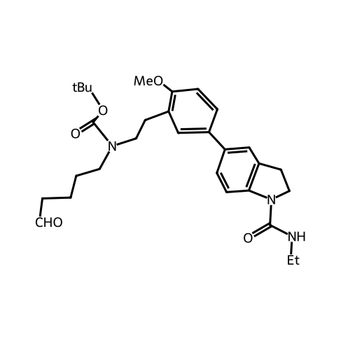 CCNC(=O)N1CCc2cc(-c3ccc(OC)c(CCN(CCCCC=O)C(=O)OC(C)(C)C)c3)ccc21